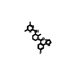 Cc1cc(C)nc(NC2CCCN(C(=O)c3ccc(F)cc3-n3nccn3)C2C)n1